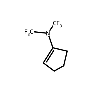 FC(F)(F)N(C1=CCCC1)C(F)(F)F